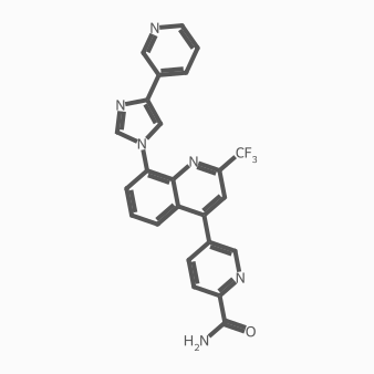 NC(=O)c1ccc(-c2cc(C(F)(F)F)nc3c(-n4cnc(-c5cccnc5)c4)cccc23)cn1